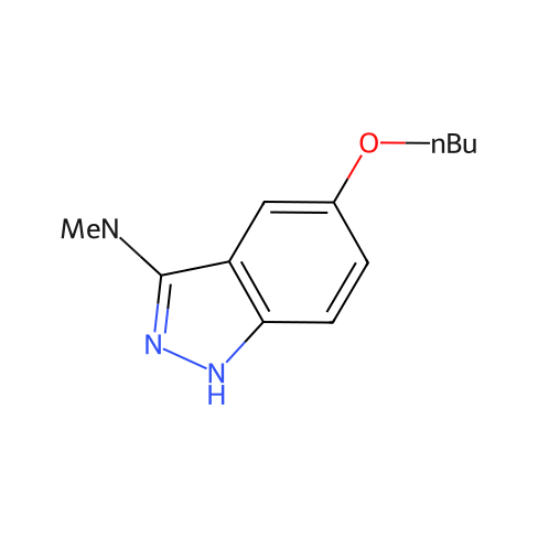 CCCCOc1ccc2[nH]nc(NC)c2c1